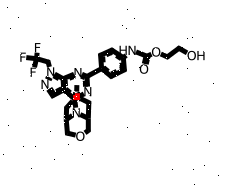 CN1CC2COCC(C1)N2c1nc(-c2ccc(NC(=O)OCCO)cc2)nc2c1cnn2CC(F)(F)F